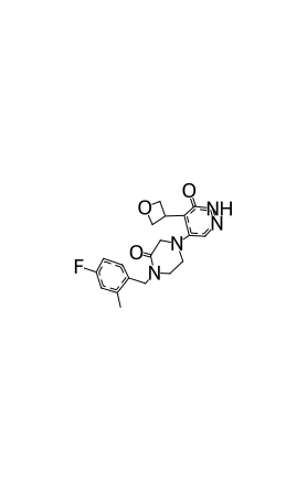 Cc1cc(F)ccc1CN1CCN(c2cn[nH]c(=O)c2C2COC2)CC1=O